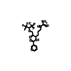 N=C(N)NCCCC(NC(=O)c1cccnc1)C(=O)COC(C(F)(F)F)C(F)(F)F